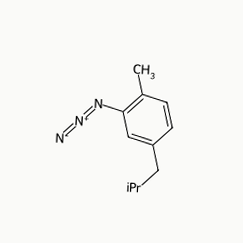 Cc1ccc(CC(C)C)cc1N=[N+]=[N-]